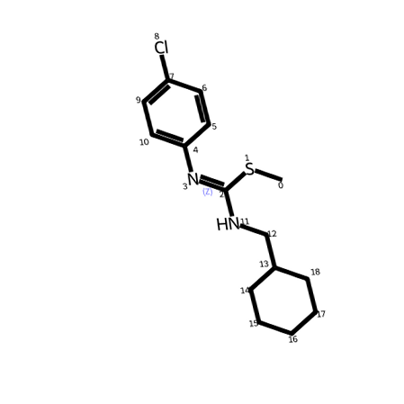 CS/C(=N\c1ccc(Cl)cc1)NCC1CCCCC1